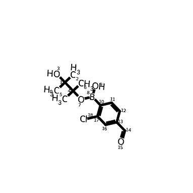 CC(C)(O)C(C)(C)OB(O)c1ccc(C=O)cc1Cl